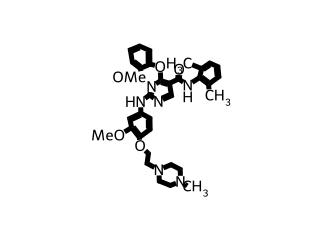 COc1cc(Nc2ncc(C(=O)Nc3c(C)cccc3C)c(Oc3ccccc3OC)n2)ccc1OCCN1CCN(C)CC1